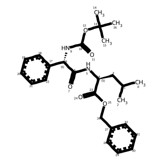 CC(C)C[C@H](NC(=O)[C@@H](NC(=O)OC(C)(C)C)c1ccccc1)C(=O)OCc1ccccc1